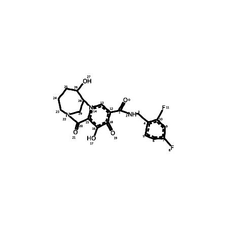 O=C(NCc1ccc(F)cc1F)c1cn2c(c(O)c1=O)C(=O)N1CCCC(O)C2C1